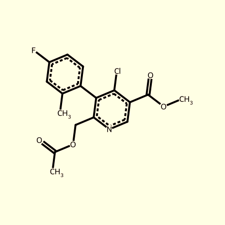 COC(=O)c1cnc(COC(C)=O)c(-c2ccc(F)cc2C)c1Cl